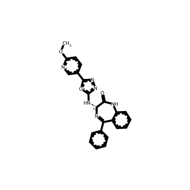 COc1ccc(-c2nnc(N[C@H]3N=C(c4ccccc4)c4ccccc4NC3=O)o2)cn1